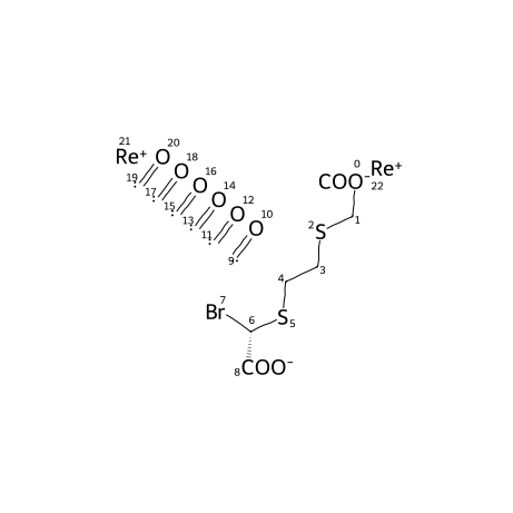 O=C([O-])CSCCS[C@@H](Br)C(=O)[O-].[C]=O.[C]=O.[C]=O.[C]=O.[C]=O.[C]=O.[Re+].[Re+]